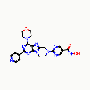 CN(Cc1nc2c(N3CCOCC3)nc(-c3ccncc3)nc2n1C)c1ncc(C(=O)NO)cn1